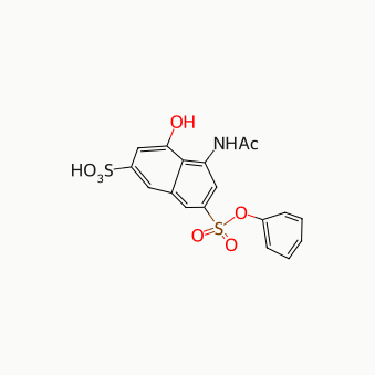 CC(=O)Nc1cc(S(=O)(=O)Oc2ccccc2)cc2cc(S(=O)(=O)O)cc(O)c12